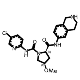 CO[C@@H]1C[C@H](C(=O)Nc2ccc3c(c2)CCNC3)N(C(=O)Nc2ccc(Cl)cn2)C1